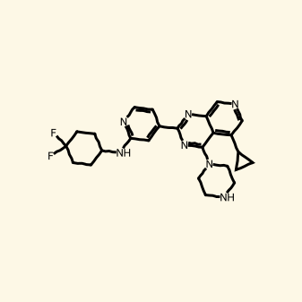 FC1(F)CCC(Nc2cc(-c3nc(N4CCNCC4)c4c(C5CC5)cncc4n3)ccn2)CC1